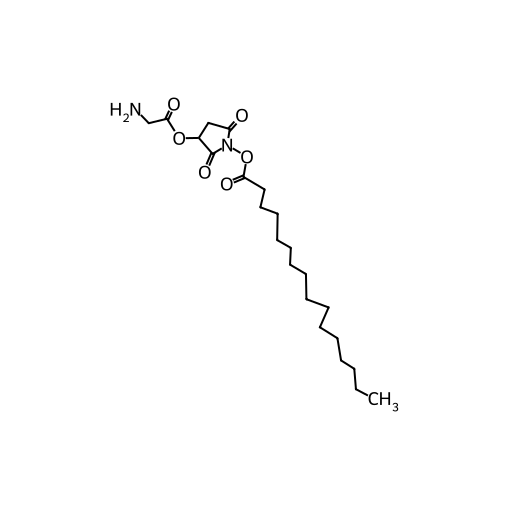 CCCCCCCCCCCCCCCC(=O)ON1C(=O)CC(OC(=O)CN)C1=O